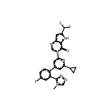 Cn1cnnc1-c1cc(F)ccc1-c1cc(C2CC2)nc(-n2cnc3cc(C(F)F)[nH]c3c2=O)c1